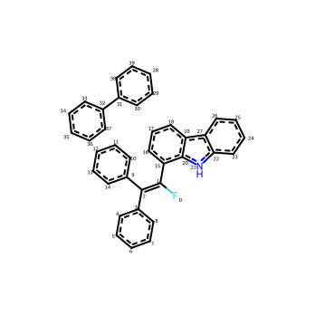 FC(=C(c1ccccc1)c1ccccc1)c1cccc2c1[nH]c1ccccc12.c1ccc(-c2ccccc2)cc1